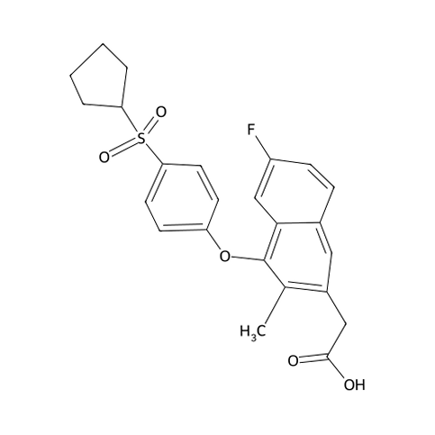 Cc1c(CC(=O)O)cc2ccc(F)cc2c1Oc1ccc(S(=O)(=O)C2CCCC2)cc1